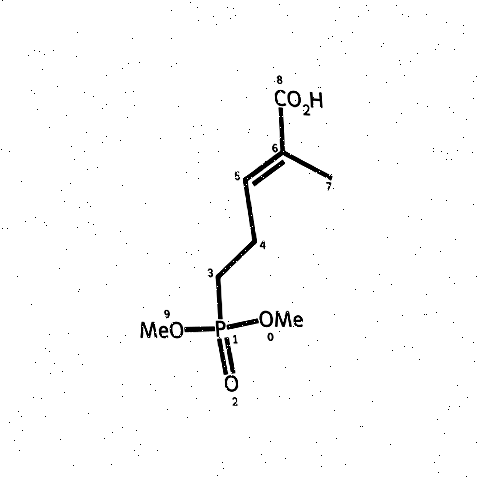 COP(=O)(CC/C=C(\C)C(=O)O)OC